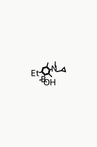 CCc1cc(C)c(N(I)CC2CC2)c(C)c1B(C)O